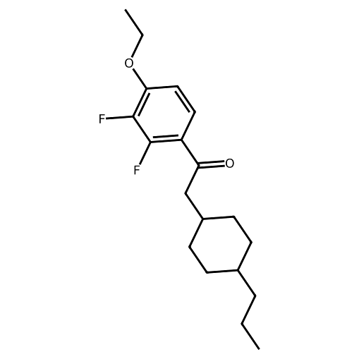 CCCC1CCC(CC(=O)c2ccc(OCC)c(F)c2F)CC1